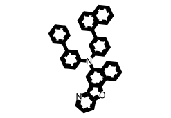 c1ccc(-c2cccc(N(c3cccc(-c4cccc5ccccc45)c3)c3cc4c5ncccc5oc4c4ccccc34)c2)cc1